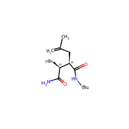 C=C(C)C[C@@H](C(=O)NC(C)(C)C)[C@H](CCCC)C(N)=O